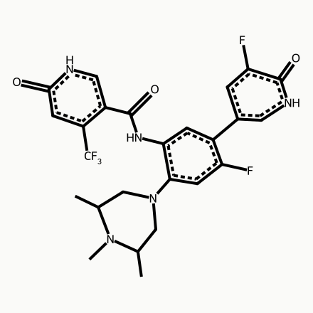 CC1CN(c2cc(F)c(-c3c[nH]c(=O)c(F)c3)cc2NC(=O)c2c[nH]c(=O)cc2C(F)(F)F)CC(C)N1C